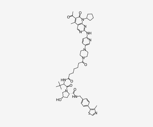 CC(=O)c1c(C)c2cnc(Nc3ccc(N4CCN(C(=O)CCCCCC(=O)NC(C(=O)N5C[C@H](O)C[C@H]5C(=O)NCc5ccc(-c6scnc6C)cc5)C(C)(C)C)CC4)cn3)nc2n(C2CCCC2)c1=O